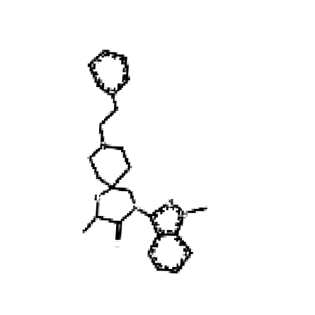 CC1OC2(CCN(CCc3ccccc3)CC2)CN(c2nn(C)c3ccccc23)C1=O